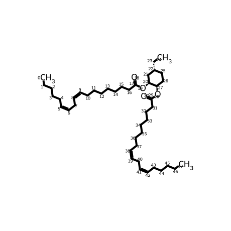 CCCCC/C=C\C/C=C\CCCCCCCC(=O)O[C@H]1C[C@H](CC)CC[C@H]1OC(=O)CCCCCCC/C=C\C/C=C\CCCCC